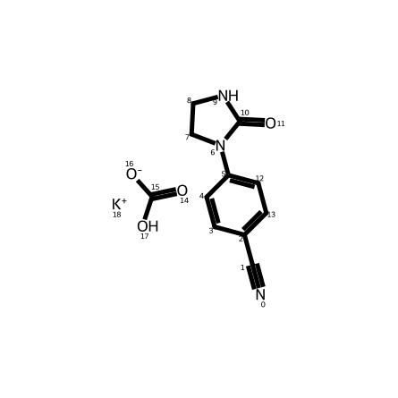 N#Cc1ccc(N2CCNC2=O)cc1.O=C([O-])O.[K+]